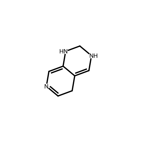 C1=NC=C2NCNC=C2C1